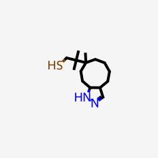 CC(C)(CS)C1(C)CCCCC2C=NNC2CC1